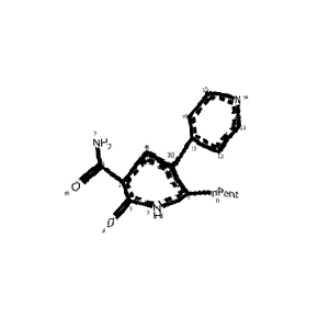 CCCCCc1[nH]c(=O)c(C(N)=O)cc1-c1ccncc1